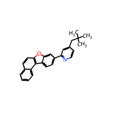 CC(C)(C)Cc1ccnc(-c2ccc3c(c2)oc2ccc4ccccc4c23)c1